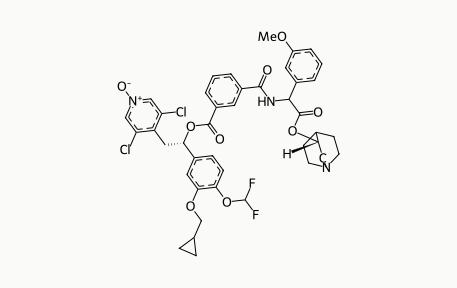 COc1cccc(C(NC(=O)c2cccc(C(=O)O[C@@H](Cc3c(Cl)c[n+]([O-])cc3Cl)c3ccc(OC(F)F)c(OCC4CC4)c3)c2)C(=O)O[C@H]2CN3CCC2CC3)c1